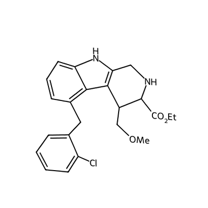 CCOC(=O)C1NCc2[nH]c3cccc(Cc4ccccc4Cl)c3c2C1COC